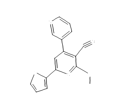 COc1nc(-c2cccs2)cc(-c2cccnc2)c1C#N